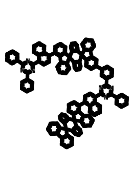 c1ccc(-c2nc(-c3cccc(-c4ccc5c(c4)-c4ccccc4C54c5ccccc5C5(c6ccccc6-c6c(-c7ccc(-c8nc(-c9ccccc9)nc(-c9ccccc9)n8)c8ccccc78)cccc65)c5ccccc54)c3)nc(-c3ccc(-c4cccc5c4-c4ccccc4C54c5ccccc5C5(c6ccccc6-c6ccccc65)c5ccccc54)c4ccccc34)n2)cc1